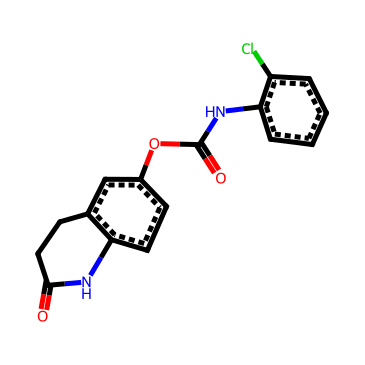 O=C1CCc2cc(OC(=O)Nc3ccccc3Cl)ccc2N1